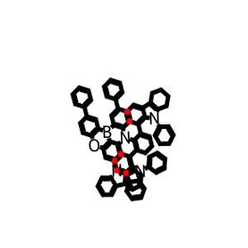 C1=CC(n2c3c(c4cccc(C5=CCCC(c6cccc7c8ccccc8n(-c8ccccc8)c67)=C5N5c6ccc(-c7ccccc7)cc6B6c7cc(-c8ccccc8)ccc7Oc7cc(-n8c9ccccc9c9ccccc98)cc5c76)c42)CCCC3)=CCC1